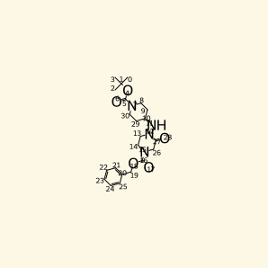 CC(C)(C)OC(=O)N1CCC(NN2CCN(C(=O)OCc3ccccc3)CC2=O)CC1